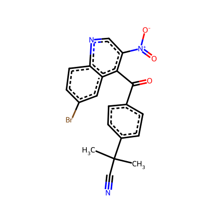 CC(C)(C#N)c1ccc(C(=O)c2c([N+](=O)[O-])cnc3ccc(Br)cc23)cc1